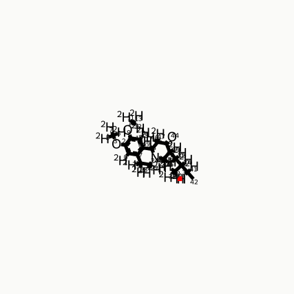 [2H]c1c(OC([2H])([2H])[2H])c(OC([2H])([2H])[2H])c([2H])c2c1C([2H])([2H])C([2H])([2H])N1C([2H])([2H])C([2H])(C([2H])([2H])C([2H])(C([2H])([2H])[2H])C([2H])([2H])C)C(=O)C([2H])([2H])C21[2H]